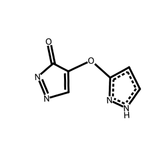 O=C1N=NC=C1Oc1cc[nH]n1